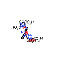 O=C(O)CC[C@@H](CO)NC(=O)N[C@@H](CCCCNC(=O)[C@H](Cc1ccc2ccccc2c1)NC(=O)c1ccc2c(c1)CCCN2C(=O)CN1CCN(CC(=O)O)CCN(CC(=O)O)CCN(CC(=O)O)CC1)C(=O)O